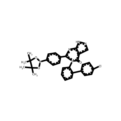 CC1(C)OB(c2ccc(-c3nc4[nH]ncc4c(=O)n3-c3ccccc3-c3ccc(Cl)cc3)cc2)OC1(C)C